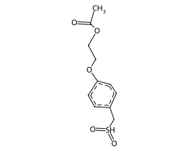 CC(=O)OCCOc1ccc(C[SH](=O)=O)cc1